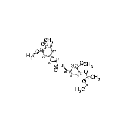 CCOC(C)Oc1ccc(C=CC(=O)C=Cc2ccc(OC)c(OC)c2)cc1OC